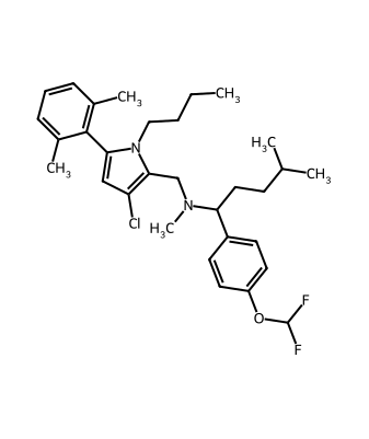 CCCCn1c(-c2c(C)cccc2C)cc(Cl)c1CN(C)C(CCC(C)C)c1ccc(OC(F)F)cc1